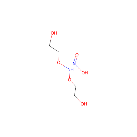 O=NO.OCCONOCCO